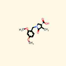 COc1ccc(CN2C[C@H](C(=O)O)C(C)C2=O)c(OC)c1